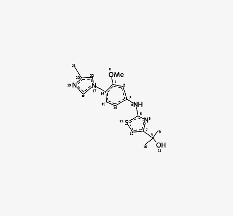 COc1cc(Nc2nc(C(C)(C)O)cs2)ccc1-n1cnc(C)c1